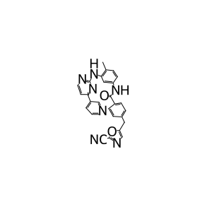 Cc1ccc(NC(=O)c2ccc(Cc3cnc(C#N)o3)cc2)cc1Nc1nccc(-c2cccnc2)n1